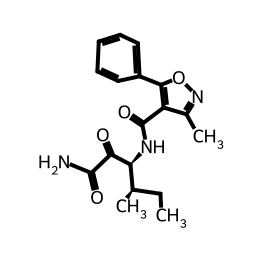 CC[C@@H](C)[C@H](NC(=O)c1c(C)noc1-c1ccccc1)C(=O)C(N)=O